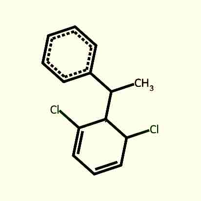 CC([C]1C(Cl)=CC=CC1Cl)c1ccccc1